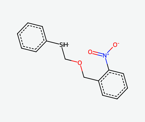 O=[N+]([O-])c1ccccc1COC[SiH]c1ccccc1